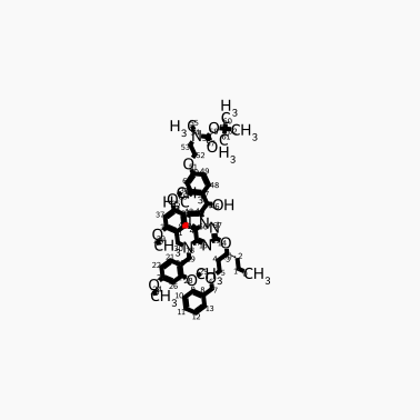 CCC[C@H](CCOCc1ccccc1)Oc1nc(N(Cc2ccc(OC)cc2OC)Cc2ccc(OC)cc2OC)c2ncc(C(O)c3ccc(OCCN(C)C(=O)OC(C)(C)C)cc3C)n2n1